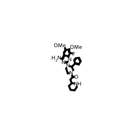 COc1cc2c(N)nc(N3CCN(C(=O)CC4CCCCN4)CC3c3ccccc3)nc2c(F)c1OC